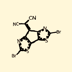 N#CC(C#N)=C1c2nc(Br)sc2-c2sc(Br)nc21